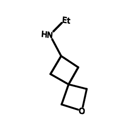 CCNC1CC2(COC2)C1